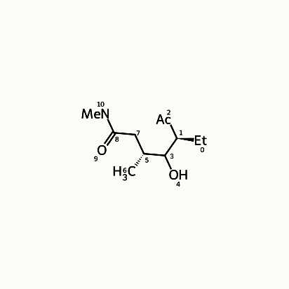 CC[C@H](C(C)=O)C(O)[C@H](C)CC(=O)NC